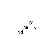 [Al].[B].[Nd].[Y]